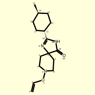 C=CON1CCC2(CC1)N=C([C@H]1CC[C@H](C)CC1)NC2=O